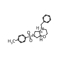 Cc1ccc(S(=O)(=O)N2C[C@@H]3OCCN(Cc4ccccc4)[C@@H]3C2)cc1